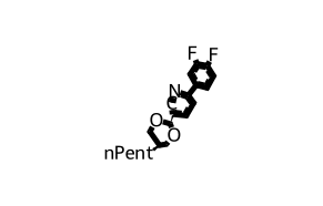 CCCCC[C@H]1CO[C@H](c2ccc(-c3ccc(F)c(F)c3)nc2)OC1